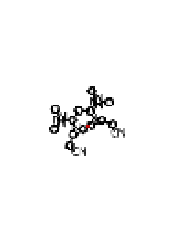 N#Cc1cccc(-c2ccc3c(c2)c2ccccc2n3-c2cc(-c3cccc(-c4cc(-c5nc(-c6ccccc6)nc(-c6ccccc6)n5)cc(-n5c6ccccc6c6cc(-c7cccc(C#N)c7)ccc65)c4)c3)cc(-c3nc(-c4ccccc4)nc(-c4ccccc4)n3)c2)c1